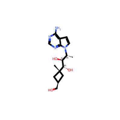 C[C@H]([C@H](O)[C@H](O)[C@]1(C)C[C@@H](CO)C1)n1ccc2c(N)ncnc21